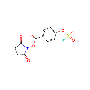 O=C(ON1C(=O)CCC1=O)c1ccc(OS(=O)(=O)F)cc1